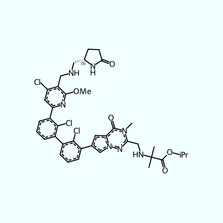 COc1nc(-c2cccc(-c3cccc(-c4cc5c(=O)n(C)c(CNC(C)(C)C(=O)OC(C)C)nn5c4)c3Cl)c2Cl)cc(Cl)c1CNC[C@@H]1CCC(=O)N1